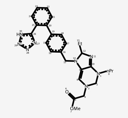 CCCN1CN(CC(=O)OC)C=C2C1=NC(CC)N2Cc1ccc(-c2ccccc2-c2nnn[nH]2)cc1